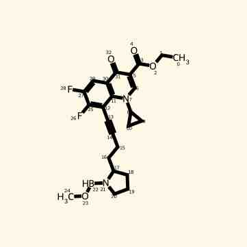 CCOC(=O)c1cn(C2CC2)c2c(C#CCCC3CCCN3BOC)c(F)c(F)cc2c1=O